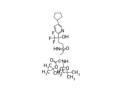 CC(C)(C)OC(=O)N[C@@H](CCS(=N)(=O)CCC(O)(c1ccc(C2CCCC2)cn1)C(F)(F)F)C(=O)OC(C)(C)C